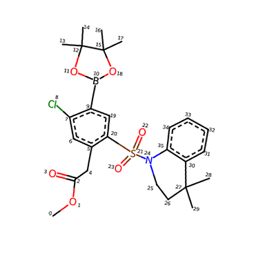 COC(=O)Cc1cc(Cl)c(B2OC(C)(C)C(C)(C)O2)cc1S(=O)(=O)N1CCC(C)(C)c2ccccc21